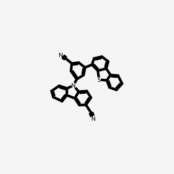 N#Cc1cc(-c2cccc3c2sc2ccccc23)cc(-n2c3ccccc3c3cc(C#N)ccc32)c1